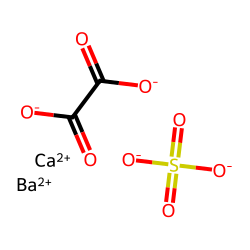 O=C([O-])C(=O)[O-].O=S(=O)([O-])[O-].[Ba+2].[Ca+2]